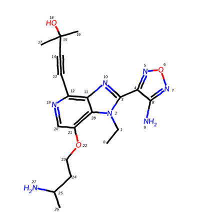 CCn1c(-c2nonc2N)nc2c(C#CC(C)(C)O)ncc(OCCC(C)N)c21